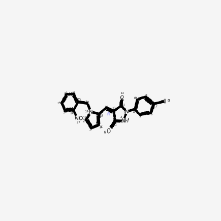 O=C1NN(c2ccc(I)cc2)C(=O)/C1=C/c1cccn1Cc1ccccc1[N+](=O)[O-]